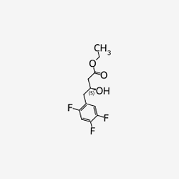 CCOC(=O)C[C@@H](O)Cc1cc(F)c(F)cc1F